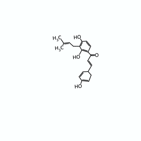 CC(C)=CCc1c(O)ccc(C(=O)C=CC2C=CC(O)=CC2)c1O